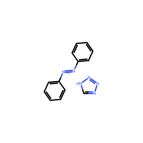 c1ccc(/N=N/c2ccccc2)cc1.c1nnn[nH]1